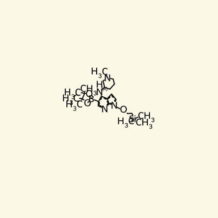 CN1CCC[C@@H](Nc2c(B3OC(C)(C)C(C)(C)O3)cnc3c2ccn3COCC[Si](C)(C)C)C1